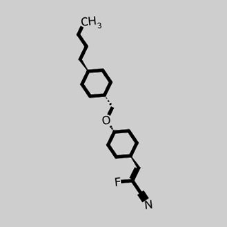 CCCC[C@H]1CC[C@H](CO[C@H]2CC[C@H](C=C(F)C#N)CC2)CC1